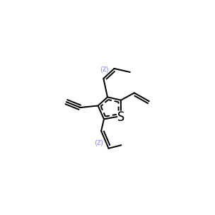 C#Cc1c(/C=C\C)sc(C=C)c1/C=C\C